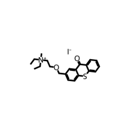 CC[N+](C)(CC)CCOCc1ccc2sc3ccccc3c(=O)c2c1.[I-]